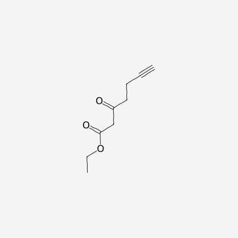 C#CCCC(=O)CC(=O)OCC